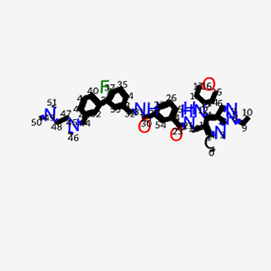 CCc1nc2c(cnn2CC)c(NC2CCOCC2)c1CNC(=O)c1cccc(C(=O)NCc2ccc(F)c(-c3cccc(CN(C)CCN(C)C)c3)c2)c1